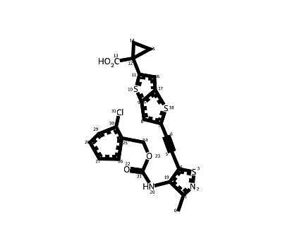 Cc1nsc(C#Cc2cc3sc(C4(C(=O)O)CC4)cc3s2)c1NC(=O)OCc1ccccc1Cl